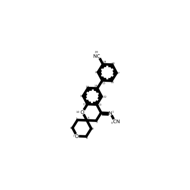 N#CN=C1CC2(CCOCC2)Oc2ccc(-c3cccc(C#N)c3)cc21